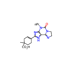 CCCN1C(=O)N2CCN=C2c2[nH]c(C3=CCC(C)(C(=O)O)CC3)nc21